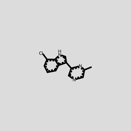 Cc1cncc(-c2c[nH]c3c(Cl)cccc23)n1